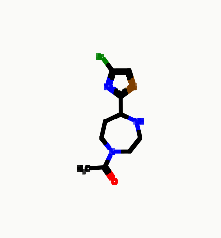 CC(=O)N1CCNC(c2nc(Br)cs2)CC1